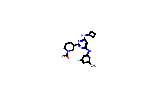 CCC(=O)N1CCCC(c2nc(NC3=CC(F)=CC(C)C3)cc(NC3CCC3)n2)C1